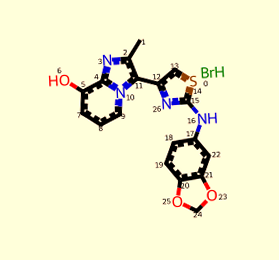 Br.Cc1nc2c(O)cccn2c1-c1csc(Nc2ccc3c(c2)OCO3)n1